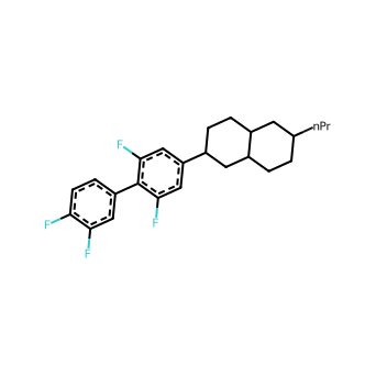 CCCC1CCC2CC(c3cc(F)c(-c4ccc(F)c(F)c4)c(F)c3)CCC2C1